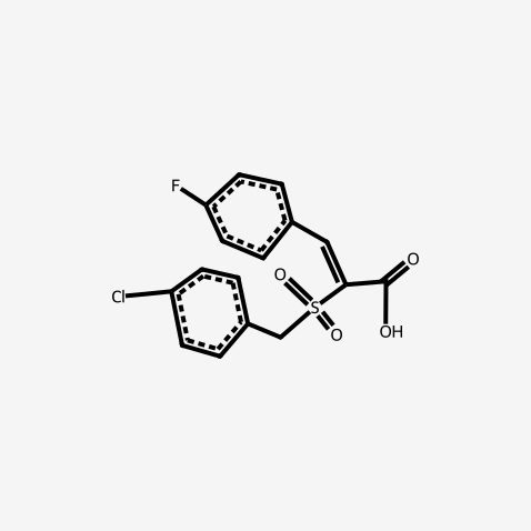 O=C(O)C(=Cc1ccc(F)cc1)S(=O)(=O)Cc1ccc(Cl)cc1